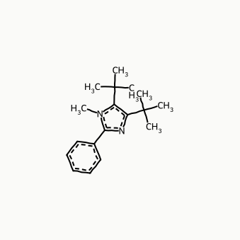 Cn1c(-c2ccccc2)nc(C(C)(C)C)c1C(C)(C)C